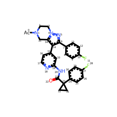 CC(=O)N1CCn2nc(-c3ccc(F)cc3)c(-c3ccnc(NC(=O)C4(c5ccc(F)cc5)CC4)c3)c2C1